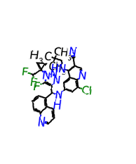 CC(C)(C)CNc1c(C#N)cnc2c(Cl)cc(N[C@H](c3nnn(C4(C(F)F)CC4)c3F)c3cccc4ncccc34)cc12